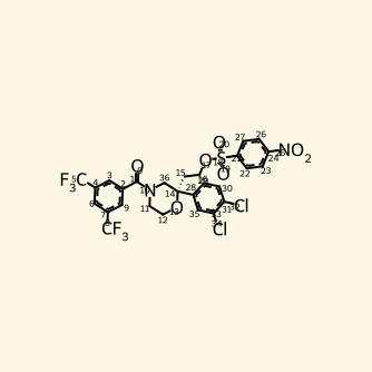 O=C(c1cc(C(F)(F)F)cc(C(F)(F)F)c1)N1CCO[C@](CCOS(=O)(=O)c2ccc([N+](=O)[O-])cc2)(c2ccc(Cl)c(Cl)c2)C1